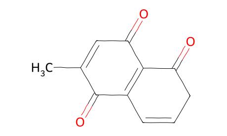 CC1=CC(=O)C2=C(C=CCC2=O)C1=O